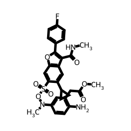 CNC(=O)c1c(-c2ccc(F)cc2)oc2cc(S(=O)(=O)ON(C)c3ccc(N)c(CC(=O)OC)c3)c(C3CC3)cc12